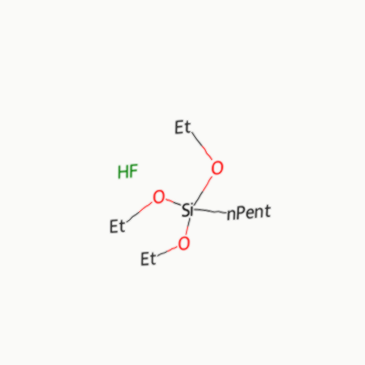 CCCCC[Si](OCC)(OCC)OCC.F